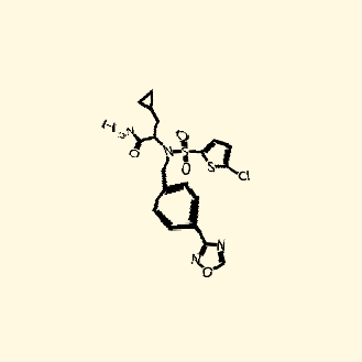 NC(=O)C(CC1CC1)N(Cc1ccc(-c2ncon2)cc1)S(=O)(=O)c1ccc(Cl)s1